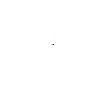 CC1(CCBr)S[C@H]2C(NC(=O)Cn3cnnn3)C(=O)N2C1C(=O)OCC(Cl)(Cl)Cl